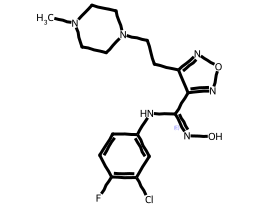 CN1CCN(CCc2nonc2/C(=N\O)Nc2ccc(F)c(Cl)c2)CC1